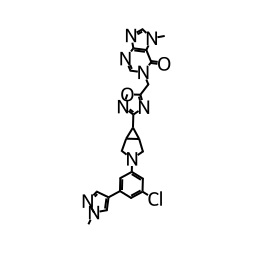 Cn1cc(-c2cc(Cl)cc(N3CC4C(C3)C4c3noc(Cn4cnc5ncn(C)c5c4=O)n3)c2)cn1